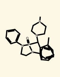 Cc1ccccc1C(N1CCN(C)CC1)P1(=O)N(c2ccccc2)CCN1c1ccccc1